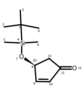 CC(C)(C)[Si](C)(C)O[C@@H]1C=CC(=O)C1